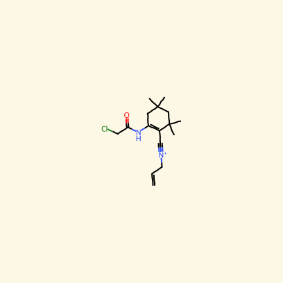 C=CC[N+]#CC1=C(NC(=O)CCl)CC(C)(C)CC1(C)C